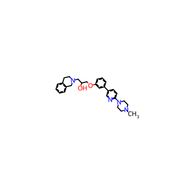 CN1CCN(c2ccc(-c3cccc(OCC(O)CN4CCc5ccccc5C4)c3)cn2)CC1